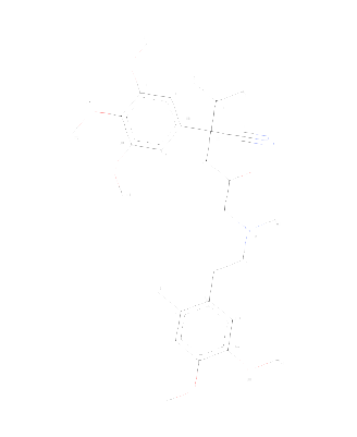 COc1cc(C)c(CCN(C)CC(O)CC(C#N)(c2cc(OC)c(OC)c(OC)c2)C(C)C)cc1OC